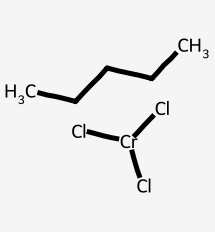 CCCCC.[Cl][Cr]([Cl])[Cl]